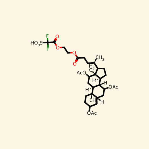 CC(=O)OC1CC[C@@]2(C)[C@@H](C1)CC(OC(C)=O)[C@@H]1[C@@H]2CC(OC(C)=O)[C@]2(C)[C@@H]([C@H](C)CCC(=O)OCCOC(=O)C(F)(F)S(=O)(=O)O)CC[C@@H]12